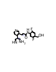 N=C/C(=C\N)c1ccncc1/C=C/C(=O)Nc1cc(F)c(CO)cc1F